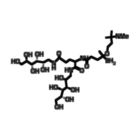 BC(C)(CCC(=O)NC(CCC(=O)NC[C@H](O)[C@@H](O)[C@H](O)[C@H](O)CO)C(=O)NC[C@H](O)[C@@H](O)[C@H](O)[C@H](O)CO)OCCC(C)(C)NC